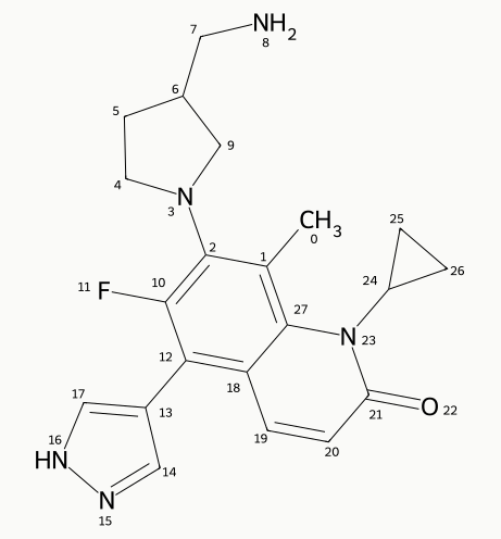 Cc1c(N2CCC(CN)C2)c(F)c(-c2cn[nH]c2)c2ccc(=O)n(C3CC3)c12